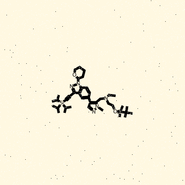 CCN(CCO[Si](C)(C)C(C)(C)C)Cc1c(-c2ccc3c(c2)c(C#C[Si](C(C)C)(C(C)C)C(C)C)nn3C2CCCCO2)cnn1C